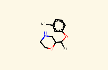 CCC(Oc1cccc(C#N)c1)C1CNCCO1